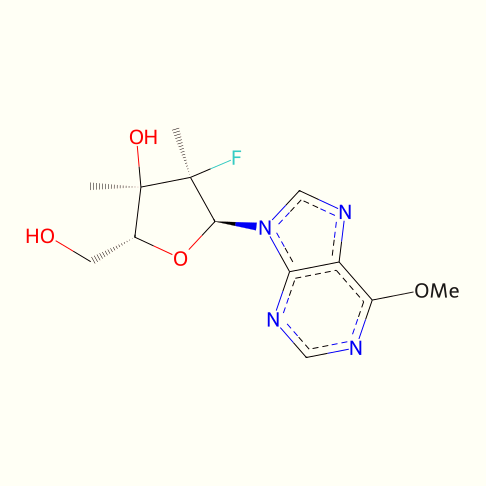 COc1ncnc2c1ncn2[C@H]1O[C@H](CO)[C@@](C)(O)[C@@]1(C)F